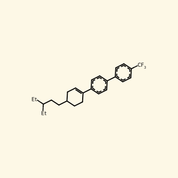 CCC(CC)CCC1CC=C(c2ccc(-c3ccc(C(F)(F)F)cc3)cc2)CC1